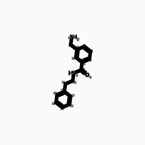 NCc1cccc(C(=O)NCCc2ccccc2)c1